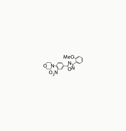 COc1ccccc1-c1noc(-c2ccc(N3CCOCC3)c([N+](=O)[O-])c2)n1